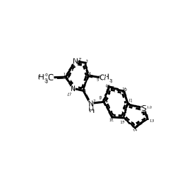 Cc1ncc(C)c(Nc2ccc3sccc3c2)n1